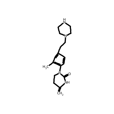 C=C1CCN(c2ccc(CCN3CCNCC3)cc2C)C(=O)N1